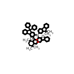 CC1(C)CCC(C)(C)c2c(-c3cc4c(cc3N(c3ccc5c(c3)C(C)(C)c3ccccc3-5)c3cccc5c3oc3ccccc35)C(c3ccccc3)(c3ccccc3)c3ccccc3-4)cccc21